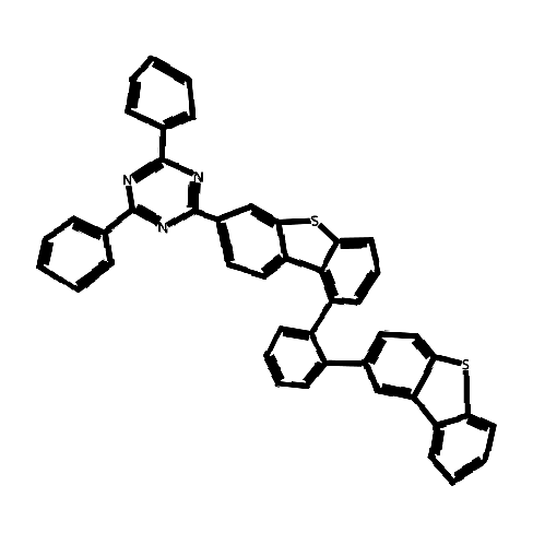 c1ccc(-c2nc(-c3ccccc3)nc(-c3ccc4c(c3)sc3cccc(-c5ccccc5-c5ccc6sc7ccccc7c6c5)c34)n2)cc1